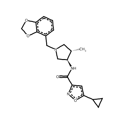 C[C@H]1CN(Cc2cccc3c2OCO3)C[C@@H]1NC(=O)c1cc(C2CC2)on1